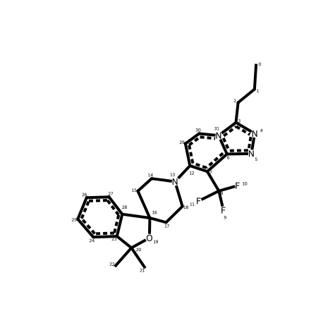 CCCc1nnc2c(C(F)(F)F)c(N3CCC4(CC3)OC(C)(C)c3ccccc34)ccn12